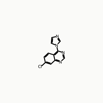 Clc1ccc2c(-n3ccnc3)ncnc2c1